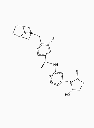 CC(=O)N1C2CCC1CN(Cc1ccc([C@H](C)Nc3nccc(N4C(=O)OC[C@@H]4O)n3)cc1F)C2